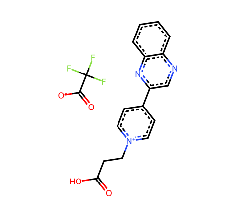 O=C(O)CC[n+]1ccc(-c2cnc3ccccc3n2)cc1.O=C([O-])C(F)(F)F